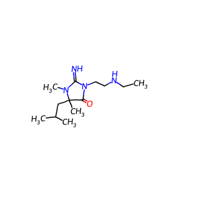 CCNCCN1C(=N)N(C)C(C)(CC(C)C)C1=O